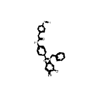 CCSc1ccc(CC(=O)Nc2ccc(-c3nc4cc(Cl)c(Cl)cc4n3Cc3ccccc3)cc2)cc1